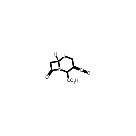 O=C=C1CS[C@H]2CC(=O)N2C1C(=O)O